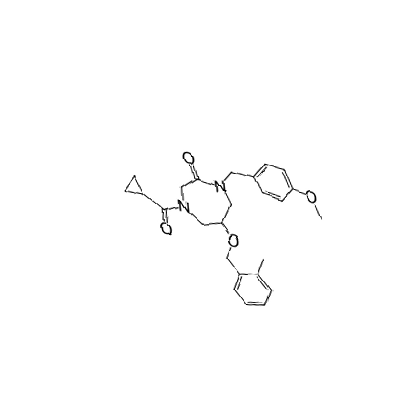 COc1ccc(CN2CC(OCc3ccccc3C)CN(C(=O)C3CC3)CC2=O)cc1